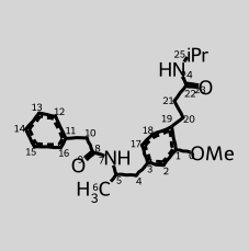 COc1cc(CC(C)NC(=O)Cc2ccccc2)ccc1CCC(=O)NC(C)C